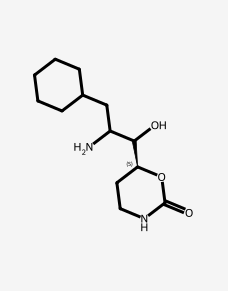 NC(CC1CCCCC1)C(O)[C@@H]1CCNC(=O)O1